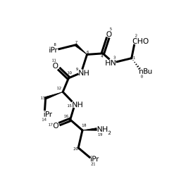 CCCC[C@@H](C=O)NC(=O)[C@H](CC(C)C)NC(=O)[C@H](CC(C)C)NC(=O)[C@@H](N)CC(C)C